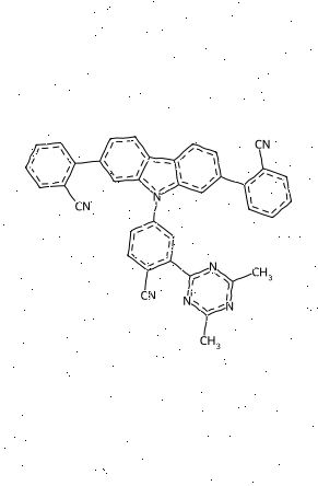 Cc1nc(C)nc(-c2cc(-n3c4cc(-c5ccccc5C#N)ccc4c4ccc(-c5ccccc5C#N)cc43)ccc2C#N)n1